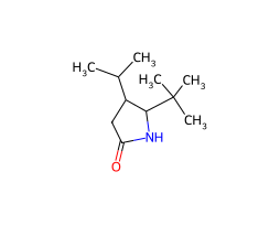 CC(C)C1CC(=O)NC1C(C)(C)C